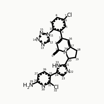 C=C1C=C(c2cc(Cl)ccc2-n2cnnn2)C=C2CCC(c3ncc(-c4ccc(N)nc4Cl)[nH]3)N12